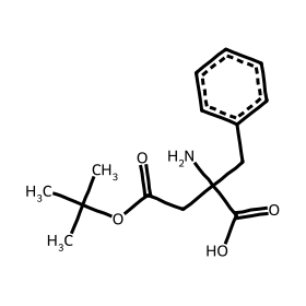 CC(C)(C)OC(=O)CC(N)(Cc1ccccc1)C(=O)O